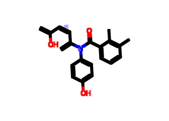 C=C(O)/C=C\C(=C)N(C(=O)c1cccc(C)c1C)c1ccc(O)cc1